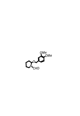 COc1ccc(COC2CCCCN2[C]=O)cc1OC